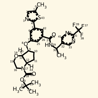 Cc1cnc(-c2cc(O[C@H]3CC[C@H]4[C@H]3OCCN4C(=O)OC(C)(C)C)cc(C(=O)NC(C)c3cnc(C(F)(F)F)nc3)c2)s1